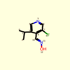 CC(C)c1cncc(F)c1C=NO